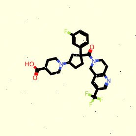 O=C(O)C1CCN(C2CCC(C(=O)N3CCc4ncc(C(F)(F)F)cc4C3)(c3cccc(F)c3)C2)CC1